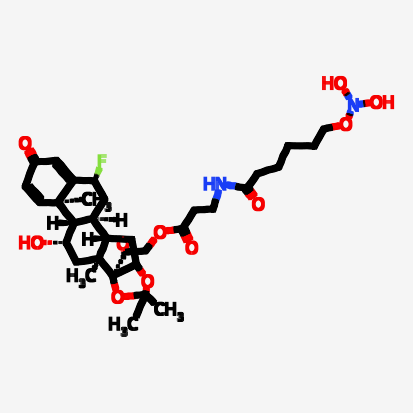 CC1(C)OC2C[C@H]3[C@@H]4C[C@H](F)C5=CC(=O)C=C[C@]5(C)[C@H]4[C@@H](O)C[C@]3(C)[C@]2(C(=O)COC(=O)CCNC(=O)CCCCCON(O)O)O1